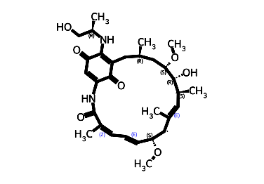 CO[C@H]1C[C@H](C)CC2=C(N[C@H](C)CO)C(=O)C=C(NC(=O)/C(C)=C\C=C\[C@@H](OC)[CH]/C(C)=C/[C@H](C)[C@H]1O)C2=O